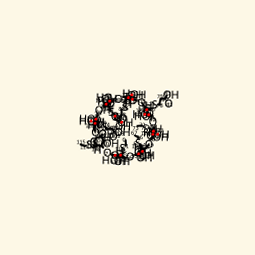 CCSC[C@H]1OC2OC3[C@H](O)C(O)C(OC4[C@H](O)C(O)C(OC5[C@H](O)C(O)C(OC6[C@H](O)C(O)C(OC7[C@H](O)C(O)C(OC8[C@H](O)C(O)C(OC9[C@H](O)C(O)C(OC1[C@H](O)C2O)O[C@@H]9CSCC)O[C@@H]8CSCC)O[C@@H]7CSCCC(=O)O)O[C@@H]6CSCCC(=O)O)O[C@@H]5CSCCC(=O)O)O[C@@H]4CSCCC(=O)O)O[C@@H]3CSCC